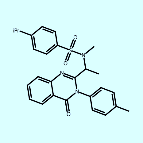 Cc1ccc(-n2c(C(C)N(C)S(=O)(=O)c3ccc(C(C)C)cc3)nc3ccccc3c2=O)cc1